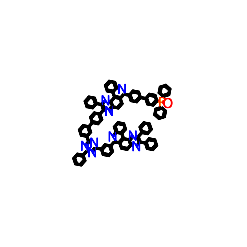 O=P(c1ccccc1)(c1ccccc1)c1ccc(-c2ccc(-c3nc4ccccc4c4c3ccc3nc(-c5ccc(-c6cccc(-c7nc(-c8ccccc8)nc(-c8cccc(-c9nc%10ccccc%10c%10c9ccc9nc(-c%11ccccc%11)c(-c%11ccccc%11)nc9%10)c8)n7)c6)cc5)c(-c5ccccc5)nc34)cc2)cc1